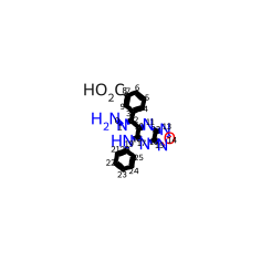 NN=C(c1cccc(C(=O)O)c1)c1nc2nonc2nc1Nc1ccccc1